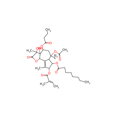 CC=C(C)C(=O)OC1C(C)=C2C(C1OC(=O)CCCCCCC)C(C)(OC(C)=O)CC(OC(=O)CCC)C1(O)C2OC(=O)C1(C)O